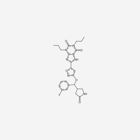 CCCn1c(=O)c2[nH]c(-c3cc(OC(c4cccc(F)c4)C4CNC(=O)C4)no3)nc2n(CCC)c1=O